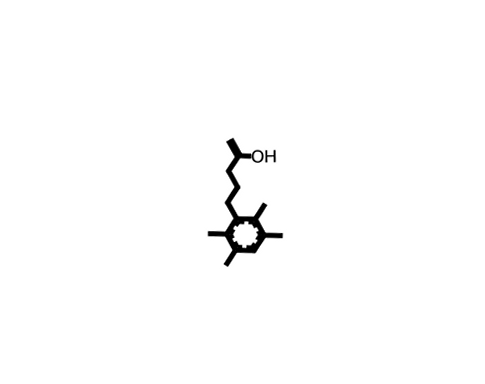 C=C(O)CCCc1c(C)c(C)cc(C)c1C